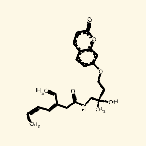 C=C/C(=C\C=C/C)CC(=O)NCC(C)(O)CCOc1ccc2ccc(=O)oc2c1